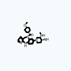 CN[C@H]1CCN(c2ccc3c(c2)N(C(=O)[C@H]2CC[C@H](OC)CC2)Cc2cccnc2N3)C[C@H]1NC